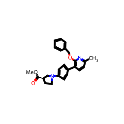 COC(=O)[C@@H]1CCN(c2ccc(-c3ccc(C)nc3OCc3ccccc3)cc2)C1